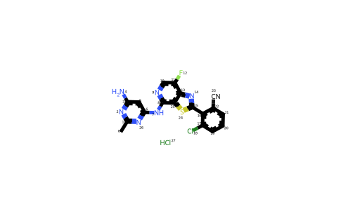 Cc1nc(N)cc(Nc2ncc(F)c3nc(-c4c(Cl)cccc4C#N)sc23)n1.Cl